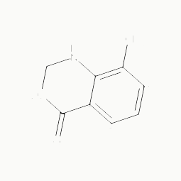 Cc1cccc2c1NCOC2=O